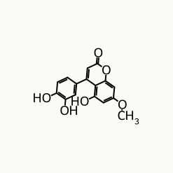 COc1cc(O)c2c(-c3ccc(O)c(O)c3)cc(=O)oc2c1